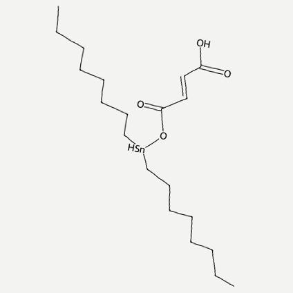 CCCCCCC[CH2][SnH]([CH2]CCCCCCC)[O]C(=O)C=CC(=O)O